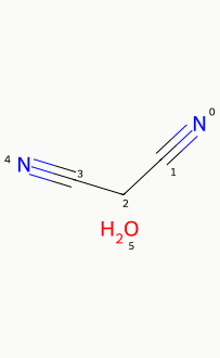 N#CCC#N.O